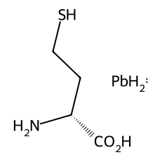 N[C@H](CCS)C(=O)O.[PbH2]